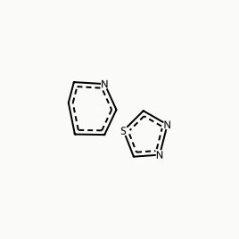 c1ccncc1.c1nncs1